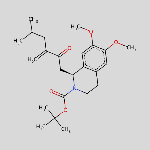 C=C(CC(C)C)C(=O)C[C@H]1c2cc(OC)c(OC)cc2CCN1C(=O)OC(C)(C)C